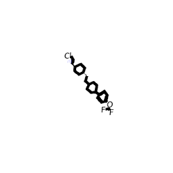 FC(F)Oc1ccc(C2CCC(CC[C@H]3CC[C@H](/C=C/Cl)CC3)CC2)cc1